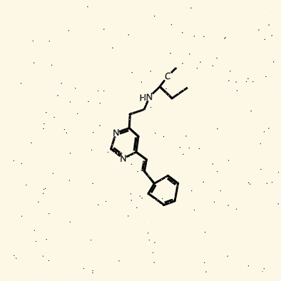 CCC(CC)NCCc1cc(C=Cc2ccccc2)ncn1